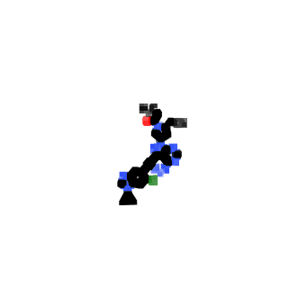 C=CC(=O)N1C[C@@H](n2nc(C#Cc3cc4ncn(C5CC5)c4cc3Cl)c3c(N)ncnc32)C[C@@H]1CC#N